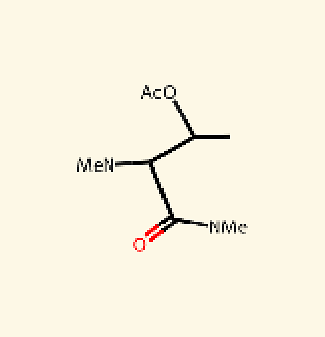 CNC(=O)C(NC)C(C)OC(C)=O